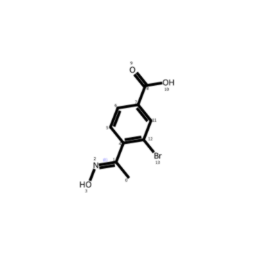 C/C(=N\O)c1ccc(C(=O)O)cc1Br